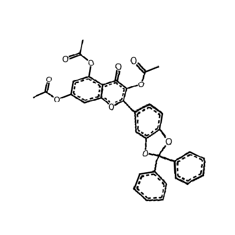 CC(=O)Oc1cc(OC(C)=O)c2c(=O)c(OC(C)=O)c(-c3ccc4c(c3)OC(c3ccccc3)(c3ccccc3)O4)oc2c1